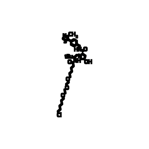 Cc1ncsc1-c1ccc(CNC(=O)[C@@H]2C[C@@H](O)CN2C[C@@H](NC(=O)CCCCCOCCOCCOCCCCCCCl)C(C)(C)C)cc1